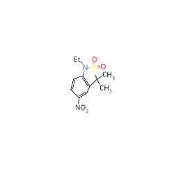 CCN1c2ccc([N+](=O)[O-])cc2C(C)(C)S1(=O)=O